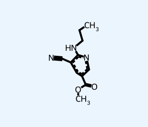 CCCNc1ncc(C(=O)OC)cc1C#N